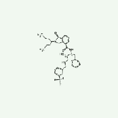 CCCC(CCC)N1Cc2c(C(=O)N[C@@H](Cc3ccccc3)[C@@H](O)CNCc3cccc(C(F)(F)F)c3)cccc2C1=O